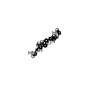 COc1nc(-c2cccc(-c3cccc(-c4ccn5c(=O)c(CNC[C@H]6CCC(=O)N6)cnc5c4)c3Cl)c2C(F)(F)F)ccc1CNC[C@H]1CCC(=O)N1